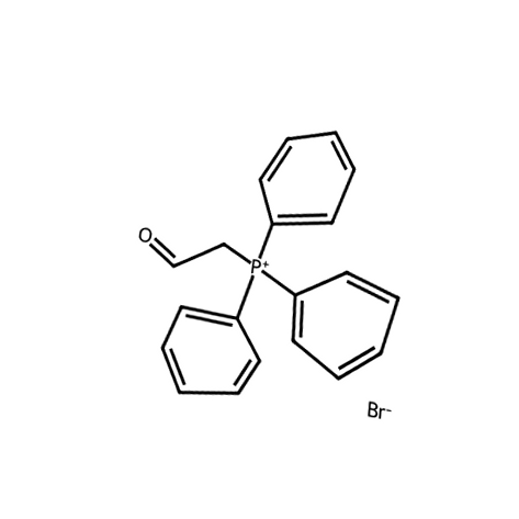 O=CC[P+](c1ccccc1)(c1ccccc1)c1ccccc1.[Br-]